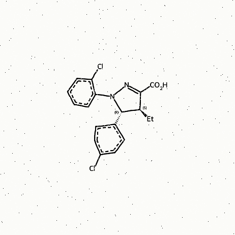 CC[C@@H]1C(C(=O)O)=NN(c2ccccc2Cl)[C@H]1c1ccc(Cl)cc1